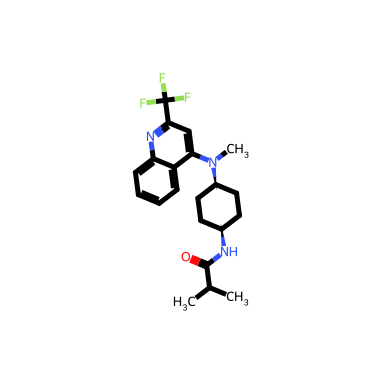 CC(C)C(=O)N[C@H]1CC[C@@H](N(C)c2cc(C(F)(F)F)nc3ccccc23)CC1